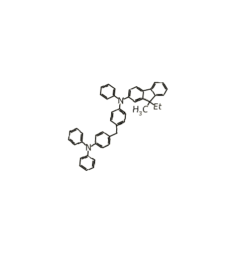 CCC1(C)c2ccccc2-c2ccc(N(c3ccccc3)c3ccc(Cc4ccc(N(c5ccccc5)c5ccccc5)cc4)cc3)cc21